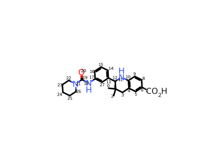 CC1(C)Cc2cc(C(=O)O)ccc2NC1c1cccc(NC(=O)N2CCCCC2)c1